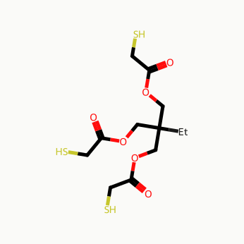 CCC(COC(=O)CS)(COC(=O)CS)COC(=O)CS